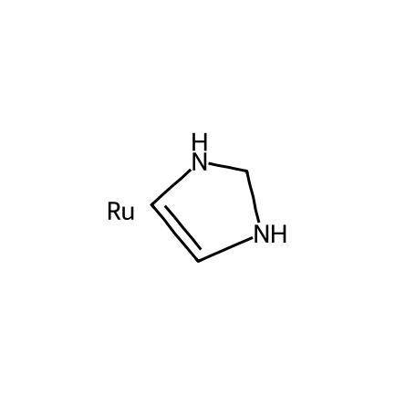 C1=CNCN1.[Ru]